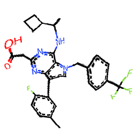 Cc1ccc(F)c(-c2cn(Cc3ccc(C(F)(F)F)cc3)c3c(NC(C)C4CCC4)nc(C(=O)O)nc23)c1